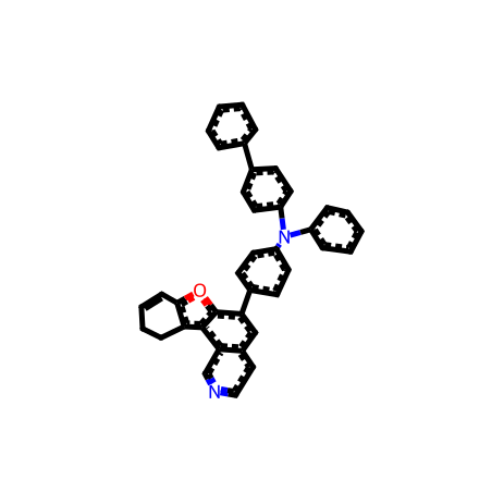 C1=Cc2oc3c(-c4ccc(N(c5ccccc5)c5ccc(-c6ccccc6)cc5)cc4)cc4ccncc4c3c2CC1